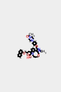 CC(=O)N1CCN(c2ccc(OCc3nn(C)c4c3-c3cccc5c(CCCOc6cccc7ccccc67)c(C(=O)O)n(c35)C/C=C\COC4)cc2)CC1